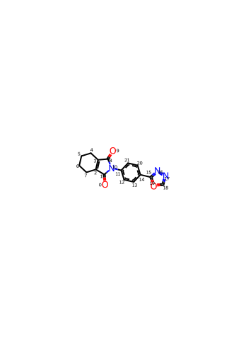 O=C1C2=C(CCCC2)C(=O)N1c1ccc(-c2nnco2)cc1